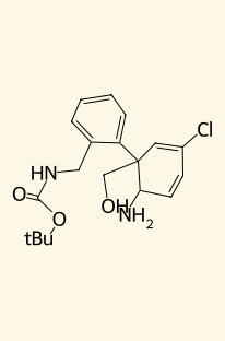 CC(C)(C)OC(=O)NCc1ccccc1C1(CO)C=C(Cl)C=CC1N